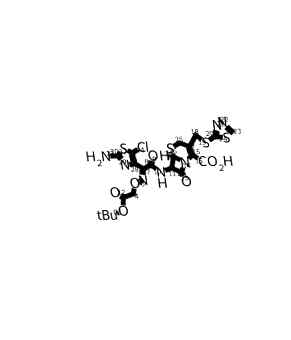 CC(C)(C)OC(=O)CON=C(C(=O)NC1C(=O)N2C(C(=O)O)=C(CSc3nncs3)CS[C@@H]12)c1nc(N)sc1Cl